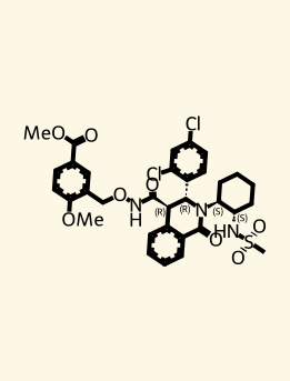 COC(=O)c1ccc(OC)c(CONC(=O)[C@@H]2c3ccccc3C(=O)N([C@H]3CCCC[C@@H]3NS(C)(=O)=O)[C@H]2c2ccc(Cl)cc2Cl)c1